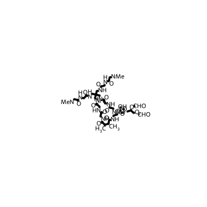 CNCC(=O)NCC(=O)NCC(CNC(=O)CNC(=O)CNC)(CNC(=O)CNC(=O)CNC)CNC(=O)CNC(=O)CNC(=O)C(C)C(C)C(=O)NCCOP(=O)(O)OCC(COC=O)OC=O